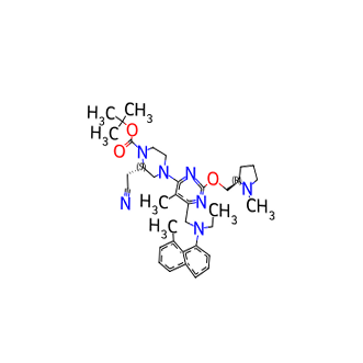 CCN(Cc1nc(OC[C@H]2CCCN2C)nc(N2CCN(C(=O)OC(C)(C)C)[C@@H](CC#N)C2)c1C)c1cccc2cccc(C)c12